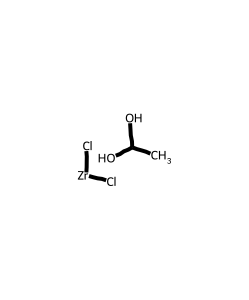 CC(O)O.[Cl][Zr][Cl]